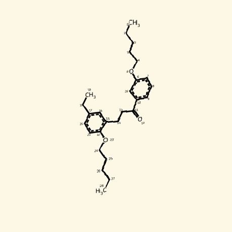 CCCCCOc1cccc(C(=O)CCc2cc(CC)ccc2OCCCCC)c1